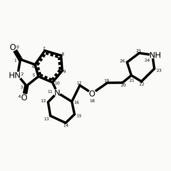 O=C1NC(=O)c2c1cccc2N1CCCCC1COCCC1CCNCC1